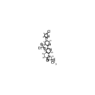 CCS(=O)(=O)c1cc(-n2ccc(Cl)n2)cnc1-c1cc2c(cn1)N(CC(F)(F)C(F)(F)F)C(=O)CC2